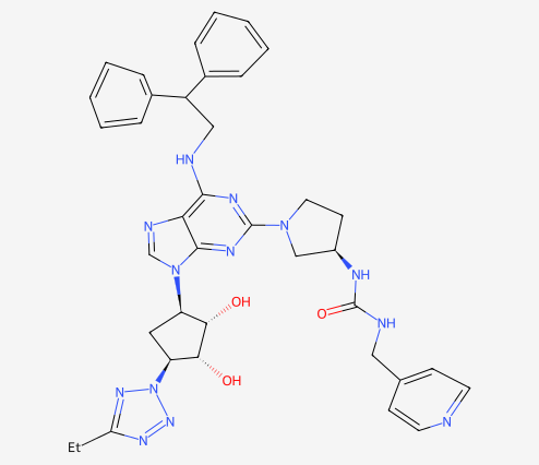 CCc1nnn([C@H]2C[C@@H](n3cnc4c(NCC(c5ccccc5)c5ccccc5)nc(N5CC[C@@H](NC(=O)NCc6ccncc6)C5)nc43)[C@H](O)[C@@H]2O)n1